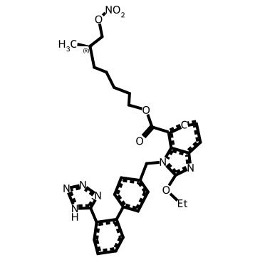 CCOc1nc2cccc(C(=O)OCCCCC[C@@H](C)CO[N+](=O)[O-])c2n1Cc1ccc(-c2ccccc2-c2nnn[nH]2)cc1